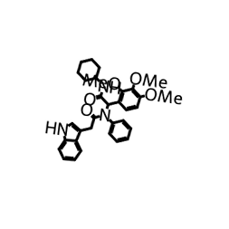 COc1ccc(C(C(=O)NC2CCCCC2)N(C(=O)Cc2c[nH]c3ccccc23)c2ccccc2)c(OC)c1OC